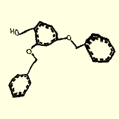 Oc1ccc(OCc2ccccc2)cc1OCc1ccccc1